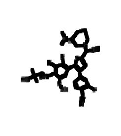 CN(C)[C@@H]1CCCN(C(O)c2cc(-c3ccc(C#N)c(F)c3)c(-c3cc(N=N)c(NCC(C)(C)O)c(F)c3F)s2)C1